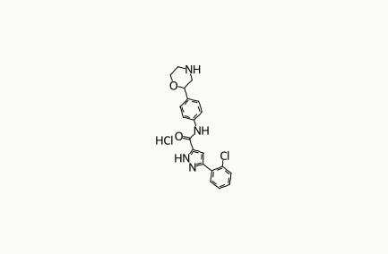 Cl.O=C(Nc1ccc(C2CNCCO2)cc1)c1cc(-c2ccccc2Cl)n[nH]1